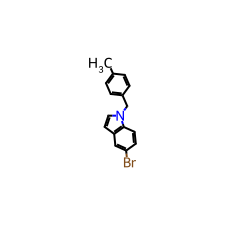 Cc1ccc(Cn2ccc3cc(Br)ccc32)cc1